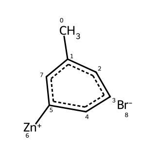 Cc1ccc[c]([Zn+])c1.[Br-]